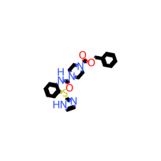 O=C(Nc1ccccc1Sc1ncc[nH]1)N1CCN(C(=O)OCc2ccccc2)CC1